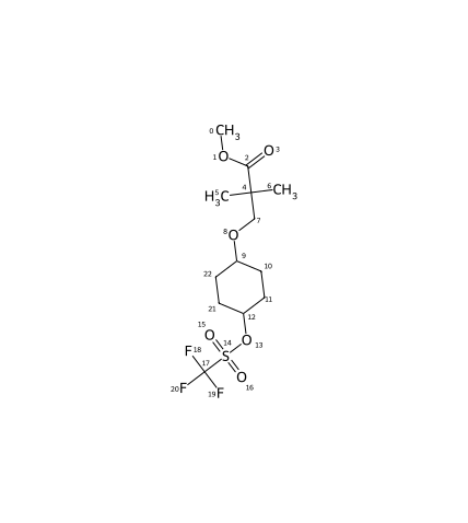 COC(=O)C(C)(C)COC1CCC(OS(=O)(=O)C(F)(F)F)CC1